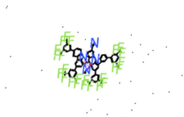 C=N/C=C\C(=C/C)c1c(-n2c3ccc(-c4cc(C(F)(F)F)cc(C(F)(F)F)c4)cc3c3cc(-c4cc(C(F)(F)F)cc(C(F)(F)F)c4)ccc32)cc(C#N)cc1-n1c2ccc(-c3cc(C(F)(F)F)cc(C(F)(F)F)c3)cc2c2cc(-c3cc(C(F)(F)F)cc(C(F)(F)F)c3)ccc21